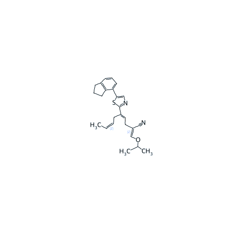 C/C=C\CC(=CC/C(C#N)=C/OC(C)C)c1ncc(-c2cccc3c2CCC3)s1